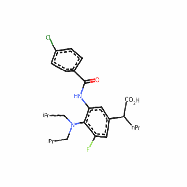 CCCC(C(=O)O)c1cc(F)c(N(CC(C)C)CC(C)C)c(NC(=O)c2ccc(Cl)cc2)c1